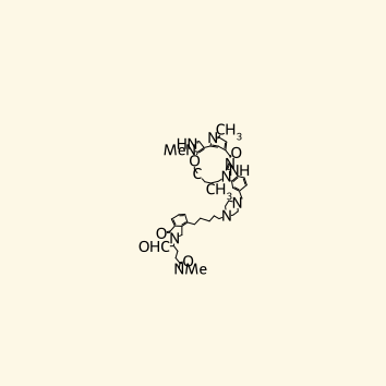 CNC(=O)CCC(C=O)N1Cc2c(CCCCCN3CCN(Cc4ccc5c(c4)N4CC(C)CCCO/C(NC)=C(/C=N)c6cc(cc(C)n6)C(=O)/N=C/4N5)CC3)cccc2C1=O